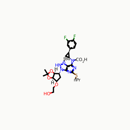 CCCSc1nc2c(c(N(C(=O)O)[C@@H]3C[C@H]3c3ccc(F)c(F)c3)n1)N(C(C)(C)C)NN2[C@@H]1C[C@H](OCCO)[C@H]2OC(C)(C)O[C@H]21